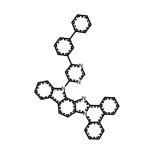 c1ccc(-c2cccc(-c3cc(-n4c5ccccc5c5ccc6c(nc7c8ccccc8c8ccccc8n67)c54)ncn3)c2)cc1